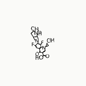 CC1CC2CN(c3c(F)cc4c(=O)c(C(=O)O)cn(C5CC5)c4c3F)CC2N1.Cl